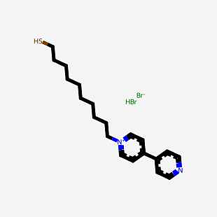 Br.SCCCCCCCCCC[n+]1ccc(-c2ccncc2)cc1.[Br-]